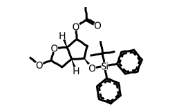 COC1C[C@@H]2[C@H](O1)C(OC(C)=O)C[C@H]2O[Si](c1ccccc1)(c1ccccc1)C(C)(C)C